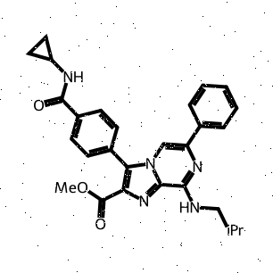 COC(=O)c1nc2c(NCC(C)C)nc(-c3ccccc3)cn2c1-c1ccc(C(=O)NC2CC2)cc1